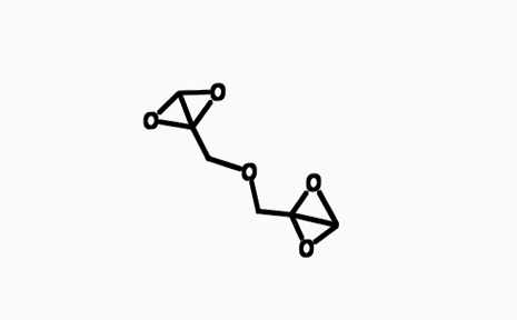 C(OCC12OC1O2)C12OC1O2